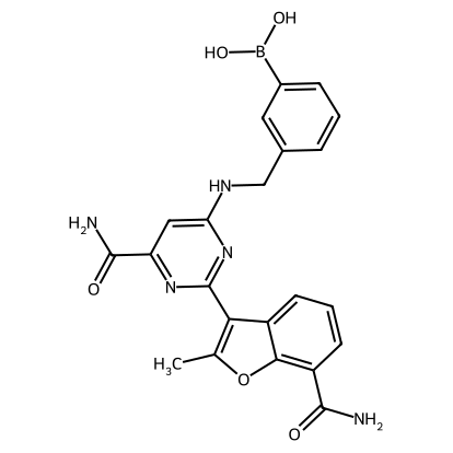 Cc1oc2c(C(N)=O)cccc2c1-c1nc(NCc2cccc(B(O)O)c2)cc(C(N)=O)n1